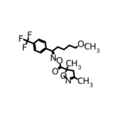 COCCCC/C(=N\OC(=O)C1(C)CC(C)=NO1)c1ccc(C(F)(F)F)cc1